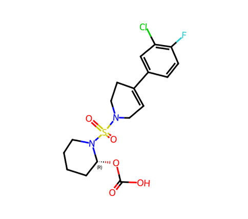 O=C(O)O[C@@H]1CCCCN1S(=O)(=O)N1CC=C(c2ccc(F)c(Cl)c2)CC1